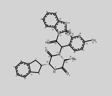 CC[C@H](C)[C@@H]1C(=O)N[C@H](C2Cc3ccccc3C2)C(=O)N1C(C(=N)n1c(=O)oc2ccccc21)c1ccc(C)nc1C